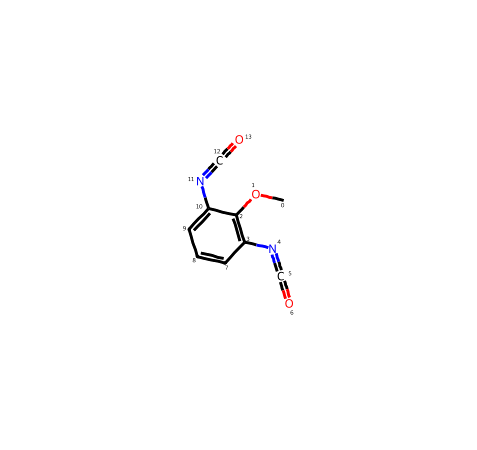 COc1c(N=C=O)cccc1N=C=O